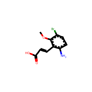 COc1c(Br)ccc(N)c1C=CC(=O)O